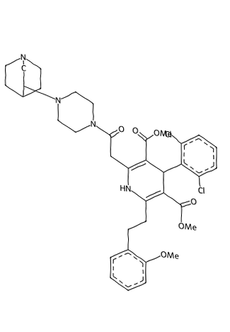 COC(=O)C1=C(CCc2ccccc2OC)NC(CC(=O)N2CCN(C3CN4CCC3CC4)CC2)=C(C(=O)OC)C1c1c(Cl)cccc1Cl